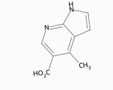 Cc1c(C(=O)O)cnc2[nH]ccc12